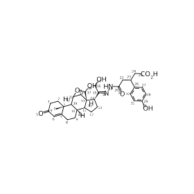 C[C@]12CCC(=O)C=C1CC[C@H]1[C@@H]3CC[C@H](C(CO)=NNC(=O)CC(CC(=O)O)c4ccc(O)cc4)[C@@]34CC(OC4O)[C@@H]12